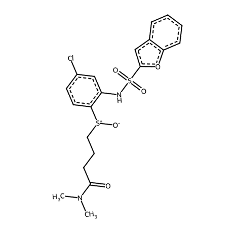 CN(C)C(=O)CCC[S+]([O-])c1ccc(Cl)cc1NS(=O)(=O)c1cc2ccccc2o1